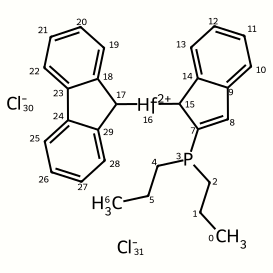 CCCP(CCC)C1=Cc2ccccc2[CH]1[Hf+2][CH]1c2ccccc2-c2ccccc21.[Cl-].[Cl-]